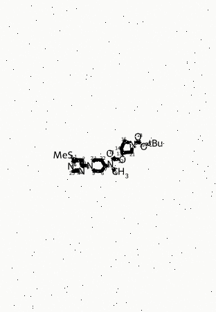 CSc1cc(N2CCC(N(C)C(=O)O[C@H]3CCN(C(=O)OC(C)(C)C)C3)CC2)ncn1